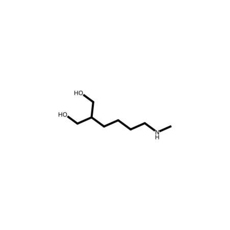 CNCCCCC(CO)CO